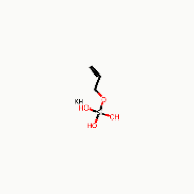 C=CCO[Si](O)(O)O.[KH]